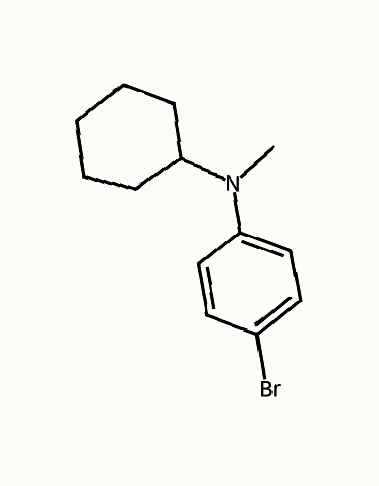 CN(c1ccc(Br)cc1)C1CCCCC1